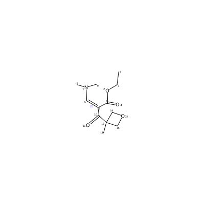 CCOC(=O)/C(=C\N(C)C)C(=O)C1(C)COC1